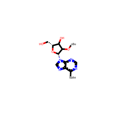 CCCCOC1C(O)[C@@H](CO)O[C@H]1n1cnc2c(NC)ncnc21